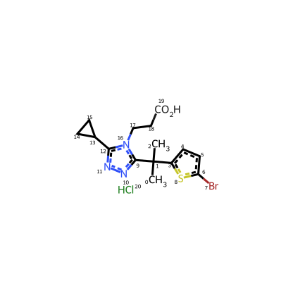 CC(C)(c1ccc(Br)s1)c1nnc(C2CC2)n1CCC(=O)O.Cl